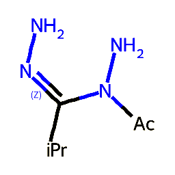 CC(=O)N(N)/C(=N\N)C(C)C